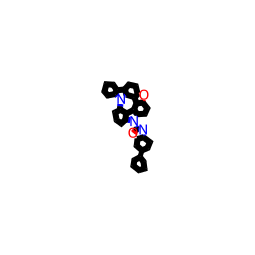 c1ccc(-c2ccc3nc(-n4c5ccc6oc7ccc8c9ccccc9n9c%10cccc4c%10c5c6c7c89)oc3c2)cc1